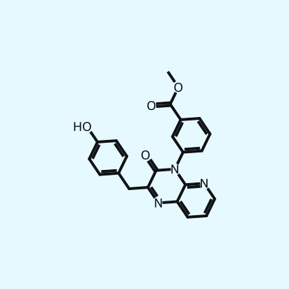 COC(=O)c1cccc(-n2c(=O)c(Cc3ccc(O)cc3)nc3cccnc32)c1